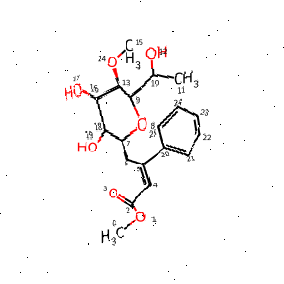 COC(=O)/C=C(\C[C@@H]1OC(C(C)O)[C@H](OC)C(O)C1O)c1ccccc1